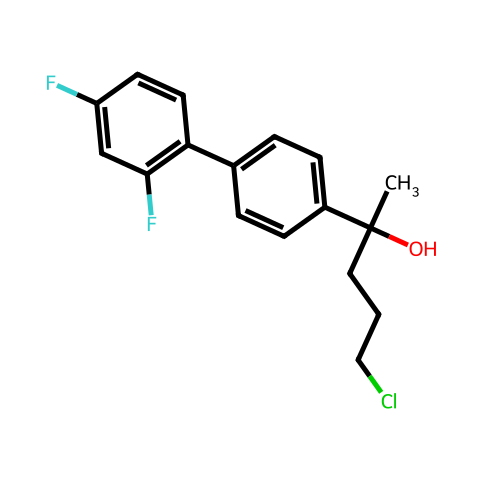 CC(O)(CCCCl)c1ccc(-c2ccc(F)cc2F)cc1